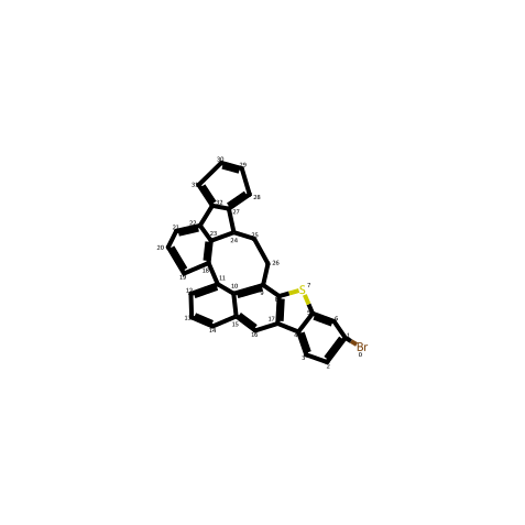 Brc1ccc2c(c1)sc1c3c4c(cccc4cc12)-c1cccc2c1C(CC3)c1ccccc1-2